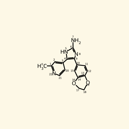 Cc1cc(-c2[nH]c(N)nc2-c2ccc3c(c2)OCCO3)ccn1